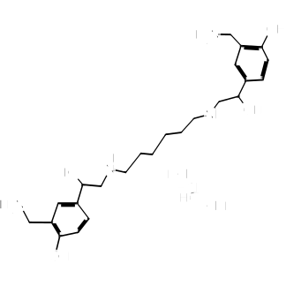 Cl.Cl.Cl.Cl.NCc1cc(C(O)CNCCCCCCNCC(O)c2ccc(O)c(CN)c2)ccc1O